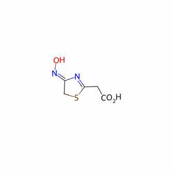 O=C(O)CC1=NC(=NO)CS1